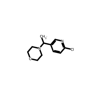 [CH2]C(c1ccc(Cl)nc1)N1CCOCC1